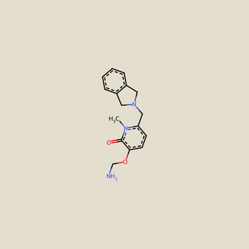 Cn1c(CN2Cc3ccccc3C2)ccc(OCN)c1=O